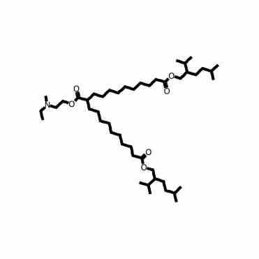 CCN(C)CCOC(=O)C(CCCCCCCCCC(=O)OCC(CCC(C)C)C(C)C)CCCCCCCCCC(=O)OCC(CCC(C)C)C(C)C